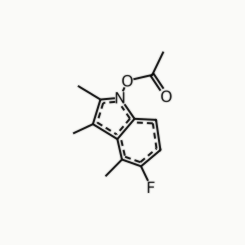 CC(=O)On1c(C)c(C)c2c(C)c(F)ccc21